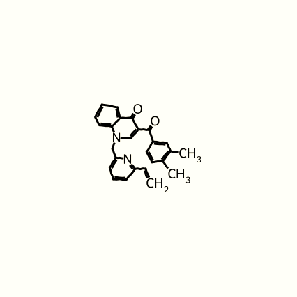 C=Cc1cccc(Cn2cc(C(=O)c3ccc(C)c(C)c3)c(=O)c3ccccc32)n1